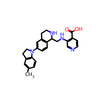 Cc1ccc2c(c1)CCN2c1ccc2c(c1)CCNC2CNc1cnccc1C(=O)O